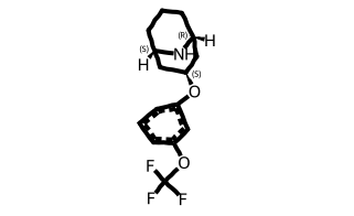 FC(F)(F)Oc1cccc(O[C@@H]2C[C@H]3CCC[C@@H](C2)N3)c1